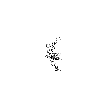 COc1ccc(CNC(=O)c2nc(C3CCCN3C(=O)OCc3ccccc3)sc2NC(=O)C2(C)COC2)c(OC)c1